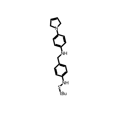 CC(C)(C)SNc1ccc(CNc2ccc(N3CC=CC3)cc2)cc1